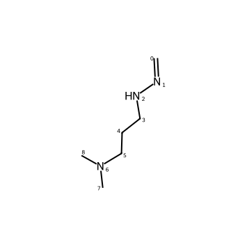 C=NNCCCN(C)C